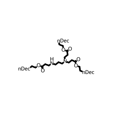 CCCCCCCCCCCCOC(=O)CCNCCCN(CCC(=O)OCCCCCCCCCCCC)CCC(=O)OCCCCCCCCCCCC